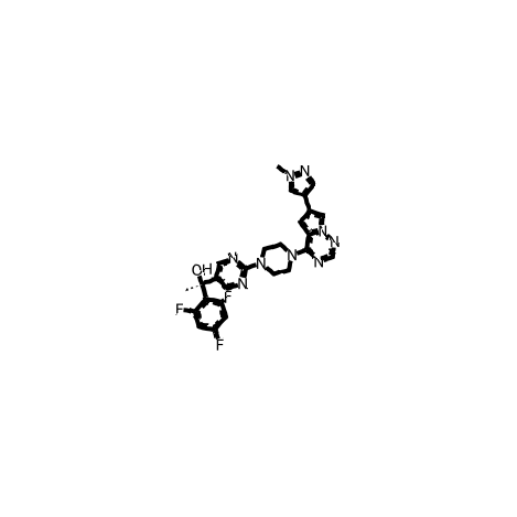 Cn1cc(-c2cc3c(N4CCN(c5ncc([C@](C)(O)c6c(F)cc(F)cc6F)cn5)CC4)ncnn3c2)cn1